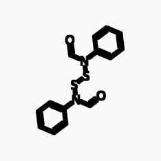 O=CN(SSN(C=O)c1ccccc1)c1ccccc1